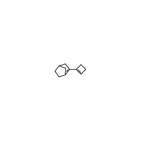 C1=C(C2=C3CCC(C3)C2)CC1